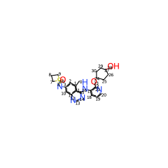 Cc1cc(N=S2(=O)CCC2)cc2ncnc(Nc3cccnc3O[C@H]3CC[C@H](O)CC3)c12